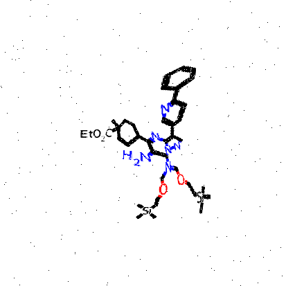 CCOC(=O)C1(C)CCC(c2nc3c(-c4ccc(-c5ccccc5)nc4)cnn3c(N(COCC[Si](C)(C)C)COCC[Si](C)(C)C)c2N)CC1